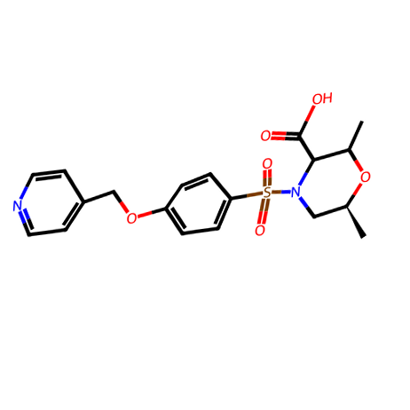 CC1O[C@@H](C)CN(S(=O)(=O)c2ccc(OCc3ccncc3)cc2)C1C(=O)O